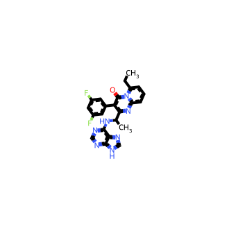 CCc1cccc2nc(C(C)Nc3ncnc4[nH]cnc34)c(-c3cc(F)cc(F)c3)c(=O)n12